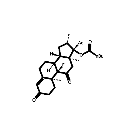 CCCCC(=O)O[C@@]1(C(C)=O)[C@@H](C)C[C@H]2[C@@H]3CCC4=CC(=O)CC[C@]4(C)[C@@]3(F)C(=O)C[C@@]21C